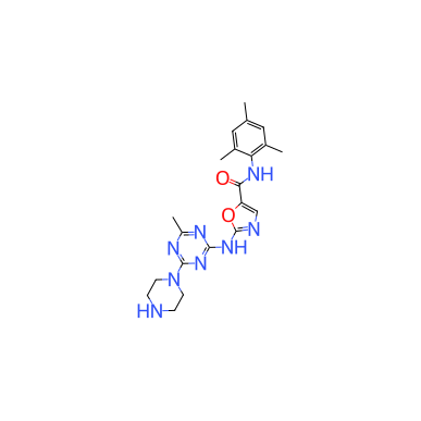 Cc1cc(C)c(NC(=O)c2cnc(Nc3nc(C)nc(N4CCNCC4)n3)o2)c(C)c1